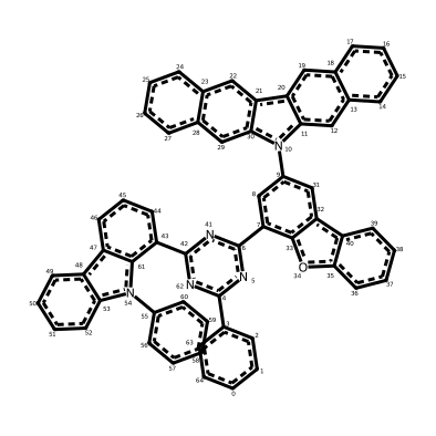 c1ccc(-c2nc(-c3cc(-n4c5cc6ccccc6cc5c5cc6ccccc6cc54)cc4c3oc3ccccc34)nc(-c3cccc4c5ccccc5n(-c5ccccc5)c34)n2)cc1